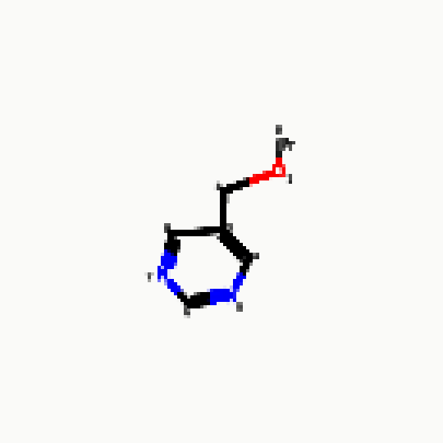 CC(C)OCc1cncnc1